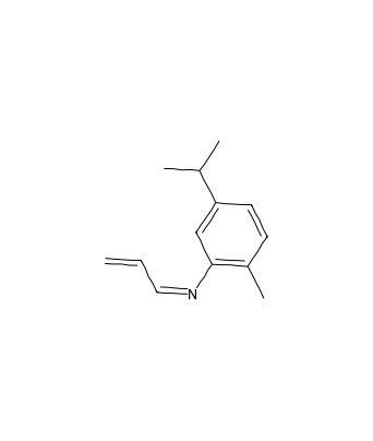 C=C/C=N\c1cc(C(C)C)ccc1C